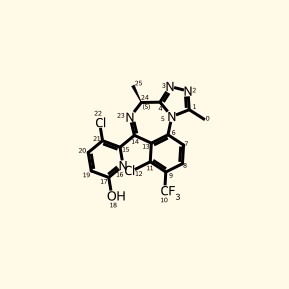 Cc1nnc2n1-c1ccc(C(F)(F)F)c(Cl)c1C(c1nc(O)ccc1Cl)=N[C@H]2C